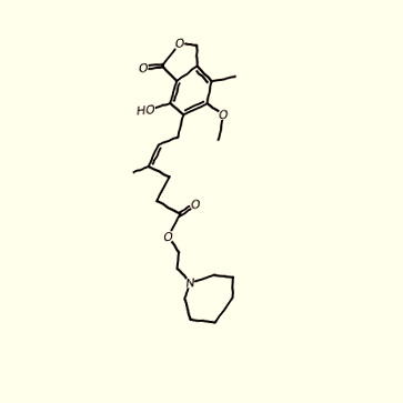 COc1c(C)c2c(c(O)c1CC=C(C)CCC(=O)OCCN1CCCCCC1)C(=O)OC2